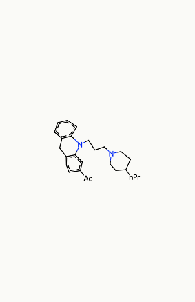 CCCC1CCN(CCCN2c3ccccc3Cc3ccc(C(C)=O)cc32)CC1